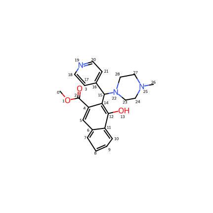 COC(=O)c1cc2ccccc2c(O)c1C(c1ccncc1)N1CCN(C)CC1